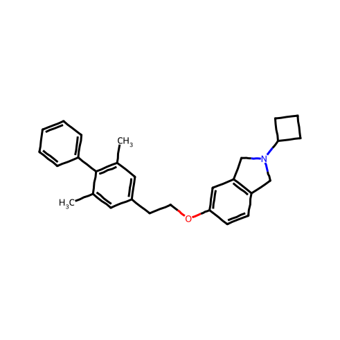 Cc1cc(CCOc2ccc3c(c2)CN(C2CCC2)C3)cc(C)c1-c1ccccc1